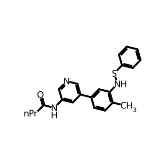 CCCC(=O)Nc1cncc(-c2ccc(C)c(NSc3ccccc3)c2)c1